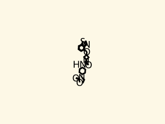 O=C(N[C@H]1CC[C@H](N2CCOC2=O)CC1)N1CC(Oc2cccc3scnc23)C1